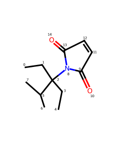 CCC(CC)(C(C)C)N1C(=O)C=CC1=O